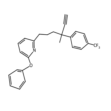 C#CC(C)(CCCc1cccc(Oc2ccccc2)n1)c1ccc(C(F)(F)F)cc1